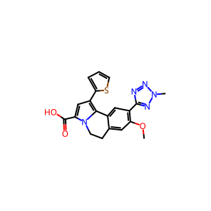 COc1cc2c(cc1-c1nnn(C)n1)-c1c(-c3cccs3)cc(C(=O)O)n1CC2